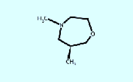 C[C@@H]1COCCN(C)C1